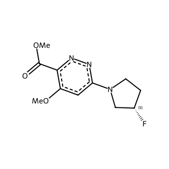 COC(=O)c1nnc(N2CC[C@H](F)C2)cc1OC